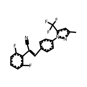 Cc1cc(C(F)(F)F)n(-c2ccc(C=C(C#N)c3c(F)cccc3F)cc2)n1